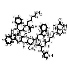 CC(NC(=O)C(Cc1c[nH]c2ccccc12)NC(=O)C(Cc1c[nH]cn1)NC(=O)CCCC[C@@H]1SC[C@@H]2NC(=O)N[C@@H]21)C(=O)NC(Cc1c[nH]c2ccccc12)C(=O)NC(Cc1ccccc1)C(=O)NC(CCCCN)C(N)=O